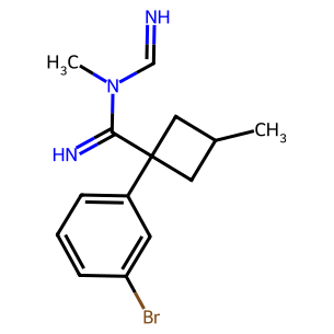 CC1CC(C(=N)N(C)C=N)(c2cccc(Br)c2)C1